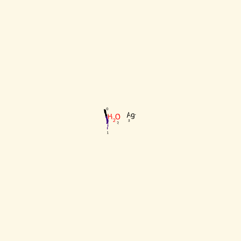 CI.O.[Ag]